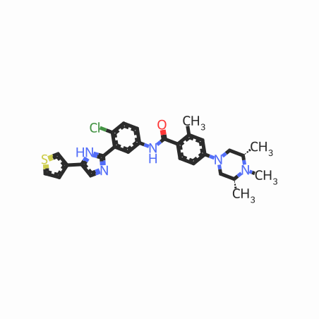 Cc1cc(N2C[C@@H](C)N(C)[C@@H](C)C2)ccc1C(=O)Nc1ccc(Cl)c(-c2ncc(-c3ccsc3)[nH]2)c1